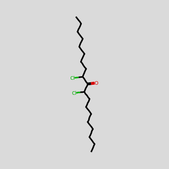 CCCCCCCCC(Cl)C(=O)C(Cl)CCCCCCCC